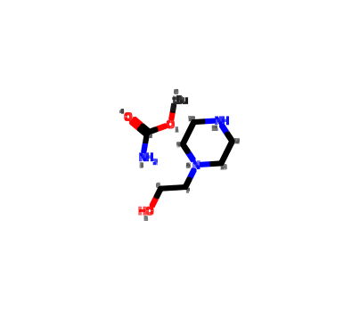 CC(C)(C)OC(N)=O.OCCN1CCNCC1